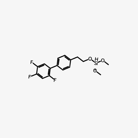 CO[SiH](OC)OCCc1ccc(-c2cc(F)c(F)cc2F)cc1